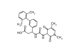 CC1=CN(C)C(=O)C(NC(=O)NC(CC(=O)O)c2cccc(-c3c(C)cccc3C)c2)C1=O